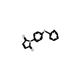 O=C1C=CC(=O)N1c1ccc(Sc2ccccc2)cc1